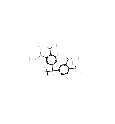 CC(C)c1ccc(C(C)(c2ccc(C(C)C)c(C(C)C)c2)C(F)(F)F)cc1C(C)C